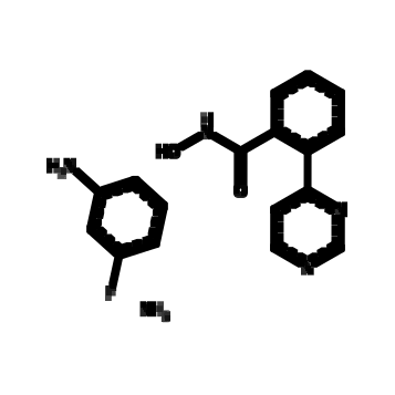 N.Nc1cccc(F)c1.O=C(NO)c1ccccc1-c1ccncn1